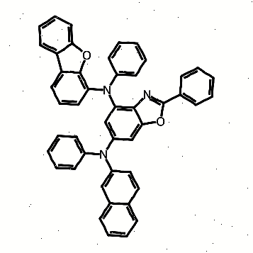 c1ccc(-c2nc3c(N(c4ccccc4)c4cccc5c4oc4ccccc45)cc(N(c4ccccc4)c4ccc5ccccc5c4)cc3o2)cc1